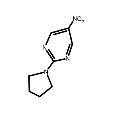 O=[N+]([O-])c1cnc(N2CCCC2)nc1